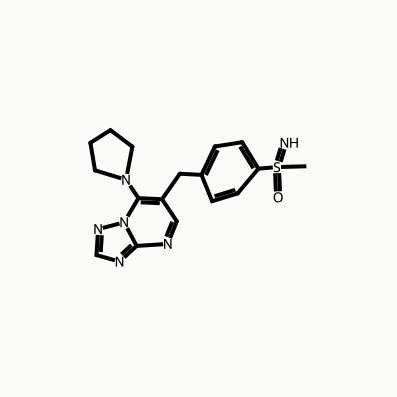 CS(=N)(=O)c1ccc(Cc2cnc3ncnn3c2N2CCCC2)cc1